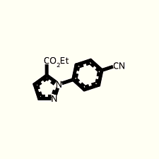 CCOC(=O)c1ccnn1-c1ccc(C#N)cc1